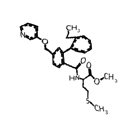 CCc1ccccc1-c1cc(COc2cccnc2)ccc1C(=O)NC(CCSC)C(=O)OC